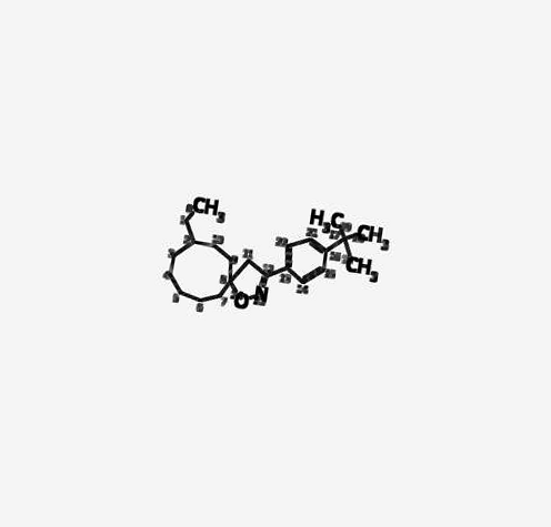 CCC1CCCCCC2(CC1)CC(c1ccc(C(C)(C)C)cc1)=NO2